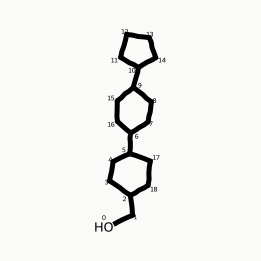 OCC1CCC(C2CCC(C3CCCC3)CC2)CC1